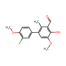 COc1ccc(-c2cc(OC)c(O)c(C=O)c2C)cc1F